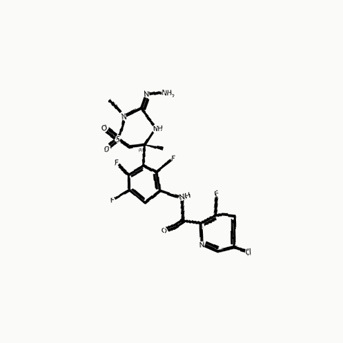 CN1C(=NN)N[C@](C)(c2c(F)c(F)cc(NC(=O)c3ncc(Cl)cc3F)c2F)CS1(=O)=O